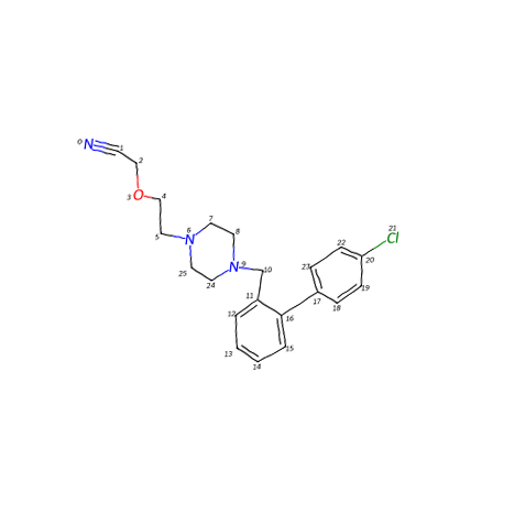 N#CCOCCN1CCN(Cc2ccccc2-c2ccc(Cl)cc2)CC1